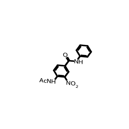 CC(=O)Nc1ccc(C(=O)Nc2ccccc2)cc1[N+](=O)[O-]